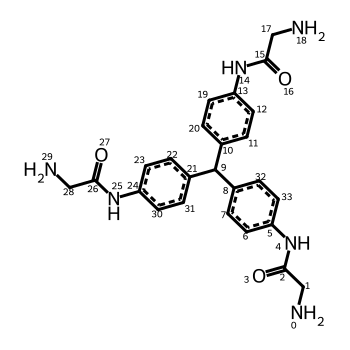 NCC(=O)Nc1ccc(C(c2ccc(NC(=O)CN)cc2)c2ccc(NC(=O)CN)cc2)cc1